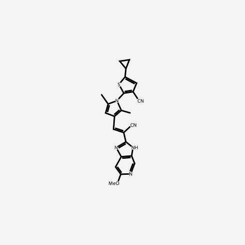 COc1cc2nc(C(C#N)=Cc3cc(C)n(-c4sc(C5CC5)cc4C#N)c3C)[nH]c2cn1